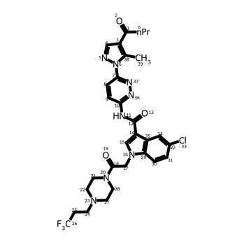 CCCC(=O)c1cnn(-c2ccc(NC(=O)c3cn(CC(=O)N4CCN(CCC(F)(F)F)CC4)c4ccc(Cl)cc34)nn2)c1C